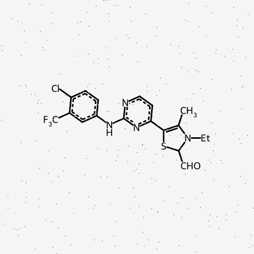 CCN1C(C)=C(c2ccnc(Nc3ccc(Cl)c(C(F)(F)F)c3)n2)SC1C=O